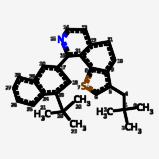 CC(C)(C)Cc1csc2c1ccc1ccnc(-c3cc(C(C)(C)C)c4ccccc4c3)c12